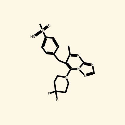 Cc1nc2ncnn2c(N2CCC(F)(F)CC2)c1Cc1ccc(S(C)(=N)=O)cc1